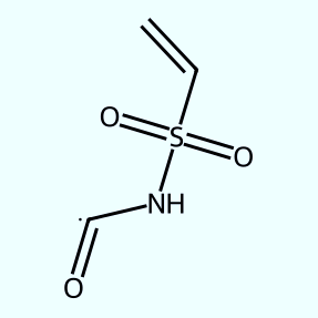 C=CS(=O)(=O)N[C]=O